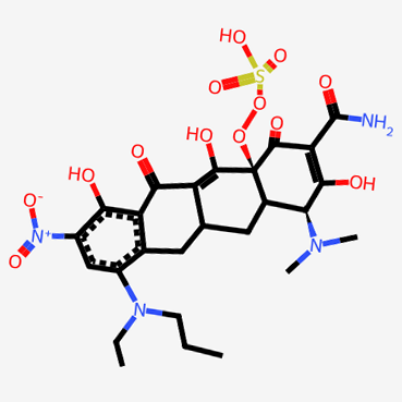 CCCN(CC)c1cc([N+](=O)[O-])c(O)c2c1CC1CC3[C@H](N(C)C)C(O)=C(C(N)=O)C(=O)[C@@]3(OOS(=O)(=O)O)C(O)=C1C2=O